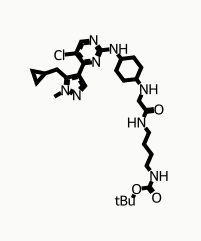 Cn1ncc(-c2nc(NC3CCC(NCC(=O)NCCCCNC(=O)OC(C)(C)C)CC3)ncc2Cl)c1CC1CC1